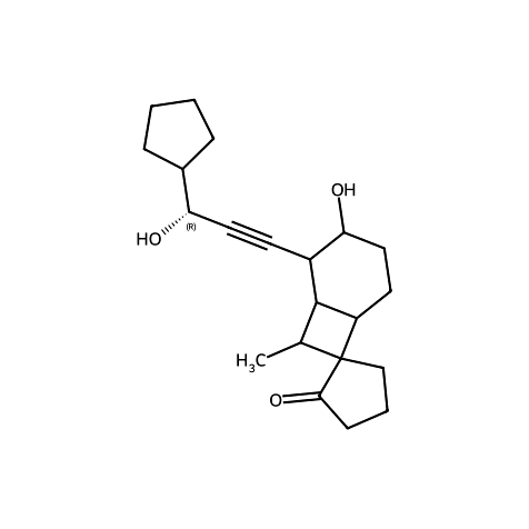 CC1C2C(C#C[C@H](O)C3CCCC3)C(O)CCC2C12CCCC2=O